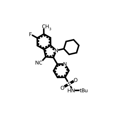 Cc1cc2c(cc1F)c(C#N)c(-c1ccc(S(=O)(=O)NC(C)(C)C)cn1)n2C1CCCCC1